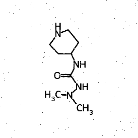 CN(C)NC(=O)NC1CCNCC1